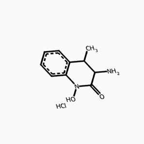 CC1c2ccccc2N(O)C(=O)C1N.Cl